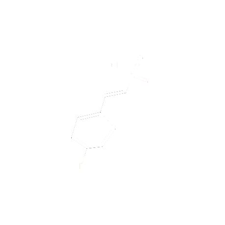 O=S(=O)(Cl)/C=C/c1ccc(F)cc1